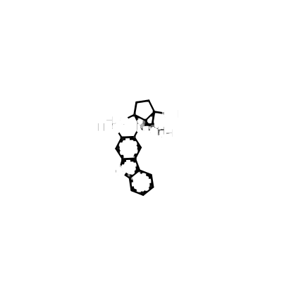 Cc1cc2oc3ccccc3c2cc1N1[C@@H](C)C2(C)CCC1(C)C2(C)C